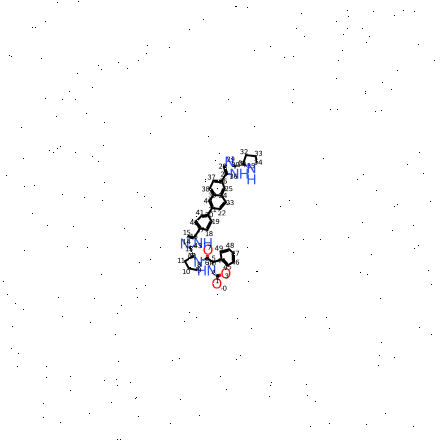 COC(=O)N[C@@H](C(=O)N1CCC[C@H]1c1ncc(-c2ccc(-c3ccc4cc(-c5cnc([C@@H]6CCCN6)[nH]5)ccc4c3)cc2)[nH]1)c1ccccc1